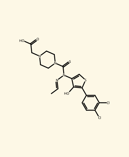 CC=NN(C(=S)N1CCN(CC(=O)O)CC1)c1csc(-c2ccc(Cl)c(Cl)c2)c1O